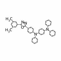 Cc1cc(C)cc(-c2nnc(-c3ccc(N(c4ccccc4)c4ccc(N(c5ccccc5)c5ccccc5)cc4)cc3)o2)c1